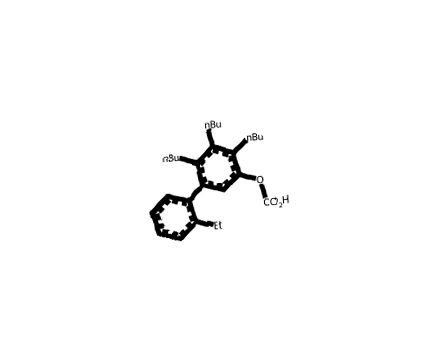 CCCCc1c(OC(=O)O)cc(-c2ccccc2CC)c(CCCC)c1CCCC